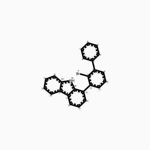 Brc1c(-c2ccccc2)cccc1-c1cccc2c1[nH]c1ccccc12